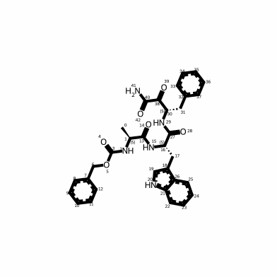 C[C@H](NC(=O)OCc1ccccc1)C(=O)N[C@@H](Cc1c[nH]c2ccccc12)C(=O)N[C@@H](Cc1ccccc1)C(=O)C(N)=O